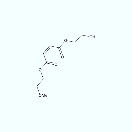 COCCOC(=O)/C=C\C(=O)OCCO